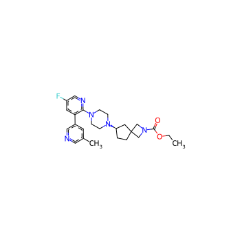 CCOC(=O)N1CC2(CC[C@@H](N3CCN(c4ncc(F)cc4-c4cncc(C)c4)CC3)C2)C1